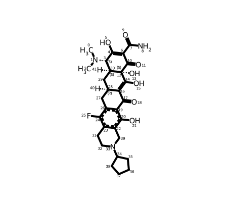 CN(C)[C@@H]1C(O)=C(C(N)=O)C(=O)[C@@]2(O)C(O)=C3C(=O)c4c(O)c5c(c(F)c4C[C@H]3C[C@@H]12)CCN(C1CCCC1)C5